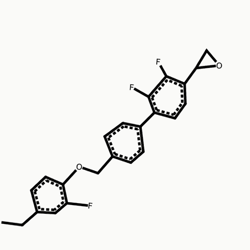 CCc1ccc(OCc2ccc(-c3ccc(C4CO4)c(F)c3F)cc2)c(F)c1